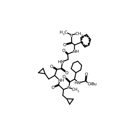 CC(C)COC(=O)NC(C(=O)N(C)C(CC1CC1)C(=O)NC(CC1CC1)C(=O)C(=O)NCC(=O)NC(C(=O)N(C)C)c1ccccc1)C1CCCCC1